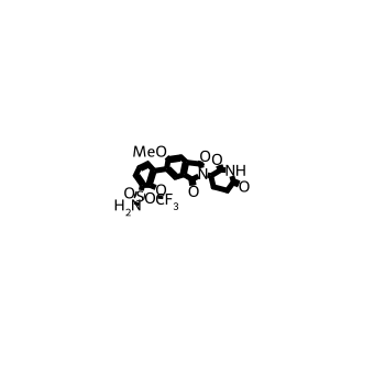 COc1cc2c(cc1-c1cccc(S(N)(=O)=O)c1OC(F)(F)F)C(=O)N(C1CCC(=O)NC1=O)C2=O